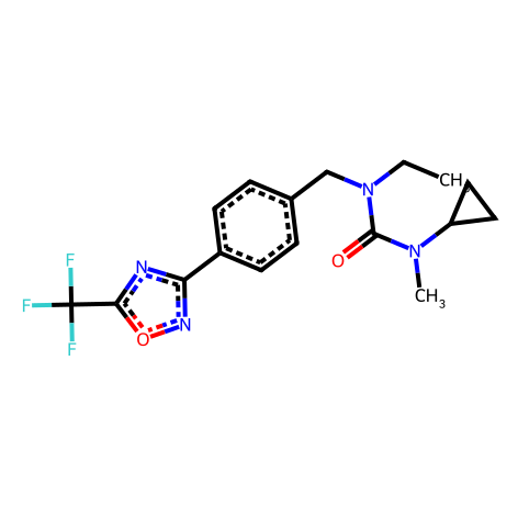 CCN(Cc1ccc(-c2noc(C(F)(F)F)n2)cc1)C(=O)N(C)C1CC1